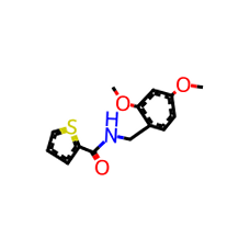 COc1ccc(CNC(=O)c2cccs2)c(OC)c1